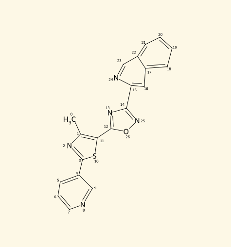 Cc1nc(-c2cccnc2)sc1-c1nc(-c2cc3ccccc3cn2)no1